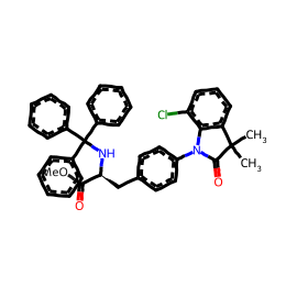 COC(=O)[C@H](Cc1ccc(N2C(=O)C(C)(C)c3cccc(Cl)c32)cc1)NC(c1ccccc1)(c1ccccc1)c1ccccc1